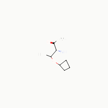 COC(=O)[C@@H](N)C(C)OC1CCC1